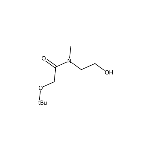 CN(CCO)C(=O)COC(C)(C)C